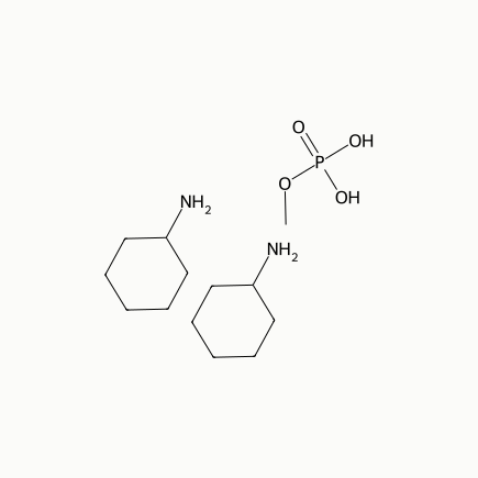 COP(=O)(O)O.NC1CCCCC1.NC1CCCCC1